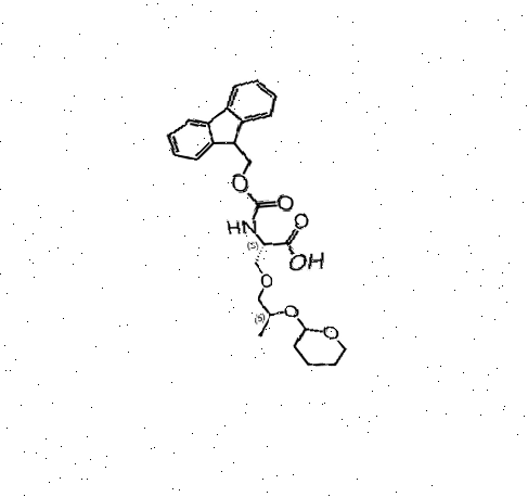 C[C@@H](COC[C@H](NC(=O)OCC1c2ccccc2-c2ccccc21)C(=O)O)OC1CCCCO1